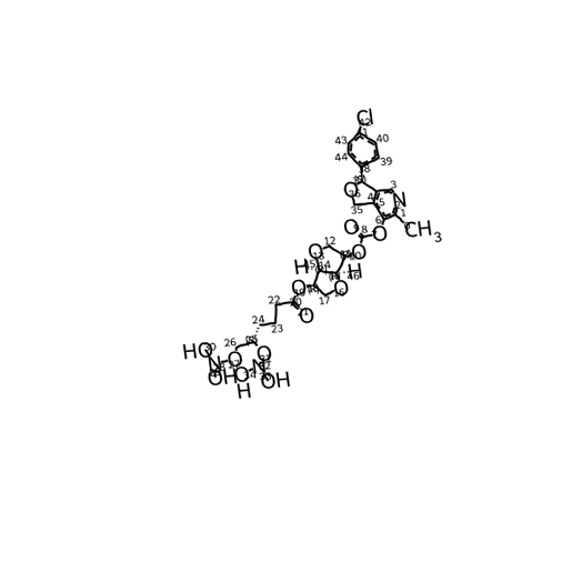 Cc1ncc2c(c1OC(=O)O[C@@H]1CO[C@H]3[C@@H]1OC[C@H]3OC(=O)CCC[C@@H](CON(O)O)ON(O)O)CO[C@H]2c1ccc(Cl)cc1